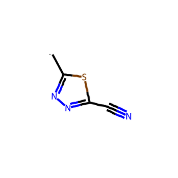 [CH2]c1nnc(C#N)s1